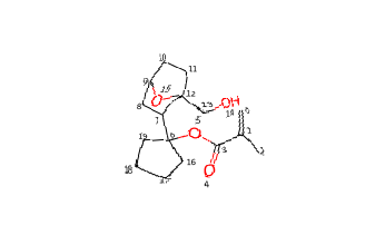 C=C(C)C(=O)OC1(C2CC3CCC2(CO)O3)CCCC1